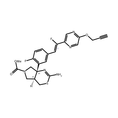 C#CCOc1cnc(/C(F)=C/c2ccc(F)c([C@]34CN(C(=O)OC)C[C@@H]3CSC(N)=N4)c2)cn1